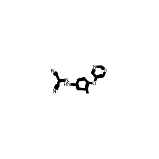 Cc1cc(NN=C(C#N)C#N)ccc1Oc1cncnc1